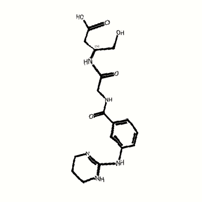 O=C(O)C[C@@H](CO)NC(=O)CNC(=O)c1cccc(NC2=NCCCN2)c1